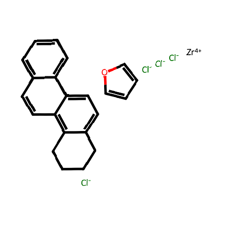 [Cl-].[Cl-].[Cl-].[Cl-].[Zr+4].c1ccc2c(c1)ccc1c3c(ccc12)CCCC3.c1ccoc1